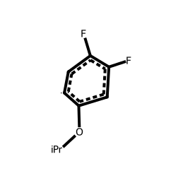 CC(C)Oc1[c]cc(F)c(F)c1